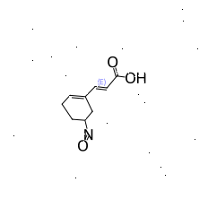 O=NC1CCC=C(/C=C/C(=O)O)C1